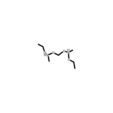 CCO[SiH](C)O[CH]O[SiH](C)OCC